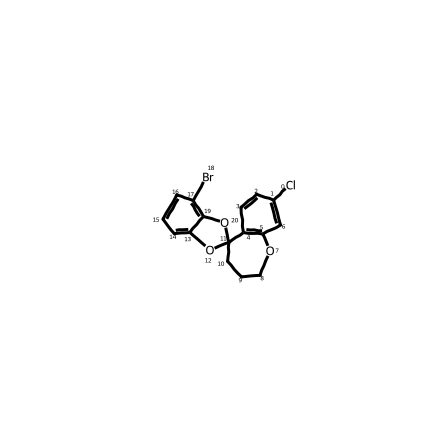 Clc1ccc2c(c1)OCCCC21Oc2cccc(Br)c2O1